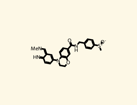 CN/C=C1/C=C(N2CCOc3cc(C(=O)NCc4ccc([S+](C)[O-])cc4)ccc32)C=CC1=N